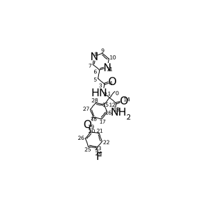 CC(NC(=O)Cc1cnccn1)(C(N)=O)c1ccc(Oc2ccc(F)cc2)cc1